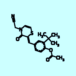 CC(=O)Oc1ccc(C=C2SC=CN(CC#N)C2=O)cc1C(C)(C)C